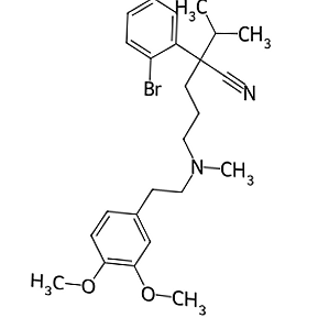 COc1ccc(CCN(C)CCCC(C#N)(c2ccccc2Br)C(C)C)cc1OC